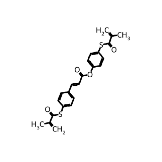 C=C(C)C(=O)Sc1ccc(/C=C/C(=O)Oc2ccc(SC(=O)C(=C)C)cc2)cc1